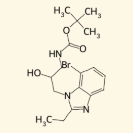 CCc1nc2cccc(Br)c2n1CC(O)CNC(=O)OC(C)(C)C